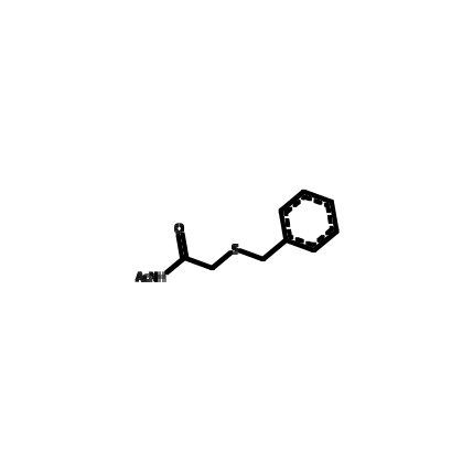 CC(=O)NC(=O)CSCc1ccccc1